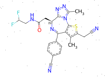 Cc1c(CC#N)sc2c1C(c1ccc(C#N)cc1)=N[C@@H](CC(=O)NCC(F)F)c1nnc(C)n1-2